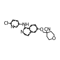 N#CC1(COc2ccc3c(Nc4ccc(Cl)nc4)nccc3c2)CCOCC1